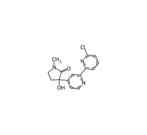 CN1CCC(O)(c2ccnc(-c3cccc(Cl)n3)c2)C1=O